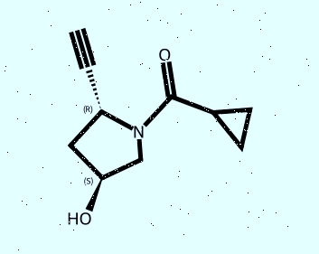 C#C[C@H]1C[C@H](O)CN1C(=O)C1CC1